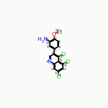 CCOc1ccc(-c2cnc3cc(Cl)cc(Cl)c3c2Cl)cc1N